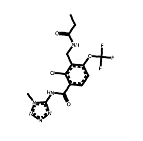 CCC(=O)NCc1c(OC(F)(F)F)ccc(C(=O)Nc2nnnn2C)c1Cl